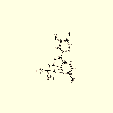 CC1(C)CC2(CN(c3ccc(Cl)c(F)c3)c3ccc(Br)nc32)C1